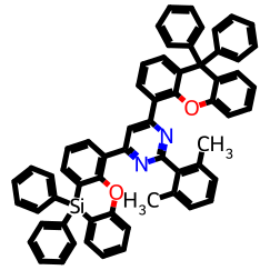 Cc1cccc(C)c1-c1nc(-c2cccc3c2Oc2ccccc2C3(c2ccccc2)c2ccccc2)cc(-c2cccc3c2Oc2ccccc2[Si]3(c2ccccc2)c2ccccc2)n1